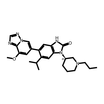 CCCN1CCC[C@@H](n2c(=O)[nH]c3cc(-c4cc(OC)c5ncnn5c4)c(C(C)C)cc32)C1